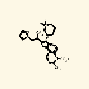 CC(Cn1cccn1)c1nc2c3c(ccc2n1[C@H]1CCCS(=O)(=O)C1)N(C(=O)O)[C@@H](C)CC3